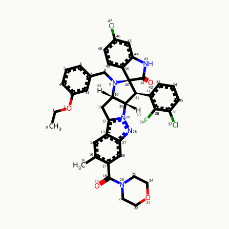 CCOc1cccc(CN2[C@H]3Cc4c5cc(C)c(C(=O)N6CCOCC6)cc5nn4[C@H]3[C@H](c3cccc(Cl)c3F)[C@]23C(=O)Nc2cc(Cl)ccc23)c1